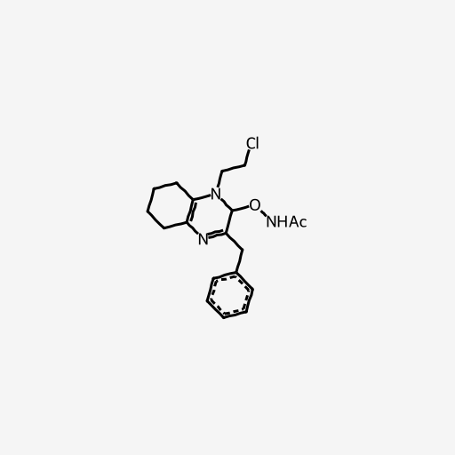 CC(=O)NOC1C(Cc2ccccc2)=NC2=C(CCCC2)N1CCCl